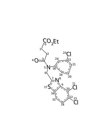 CCOC(=O)CCC(=O)N(Cc1nc2c(Cl)c(Cl)ccc2s1)c1cccc(Cl)c1